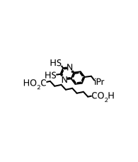 CC(C)Cc1ccc2nc(S)c(S)nc2c1.O=C(O)CCCCCCCCC(=O)O